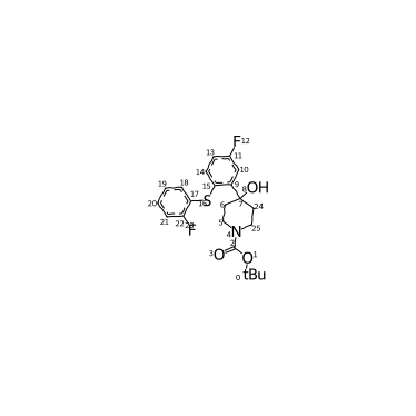 CC(C)(C)OC(=O)N1CCC(O)(c2cc(F)ccc2Sc2ccccc2F)CC1